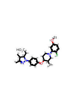 CCOc1ccc(F)c(N2CCC(Oc3ccc(N4N=C(C)C(C)C4CC(=O)O)cc3)C(C(C)C)C2)c1